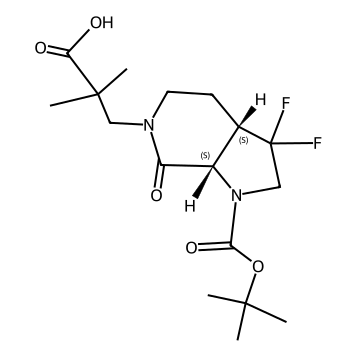 CC(C)(C)OC(=O)N1CC(F)(F)[C@H]2CCN(CC(C)(C)C(=O)O)C(=O)[C@H]21